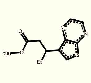 CCC(CC(=O)OC(C)(C)C)c1csc2nccnc12